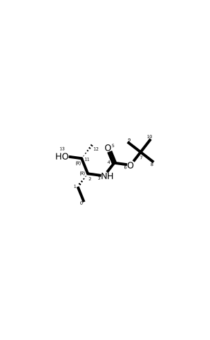 CC[C@@H](NC(=O)OC(C)(C)C)[C@@H](C)O